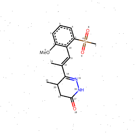 COc1cccc(S(C)(=O)=O)c1C=C(C)C1=NNC(=O)CC1C